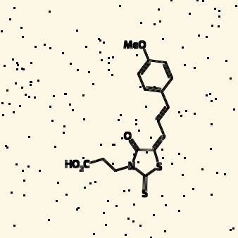 COc1ccc(C=CC=C2SC(=S)N(CCC(=O)O)C2=O)cc1